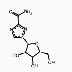 NC(=O)c1ncn([C@H]2O[C@@H](CO)C(O)[C@H]2O)n1